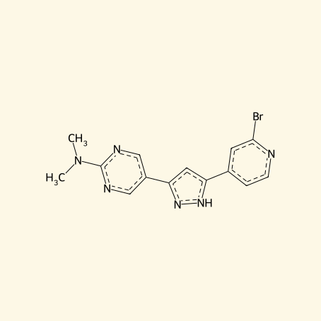 CN(C)c1ncc(-c2cc(-c3ccnc(Br)c3)[nH]n2)cn1